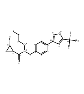 CCCON(Cc1ccc(-c2noc(C(F)(F)F)n2)cc1)C(=O)C1CC1F